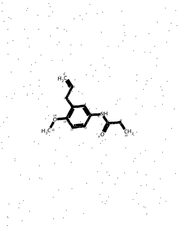 C=CCc1cc(NC(=O)CC)ccc1OC